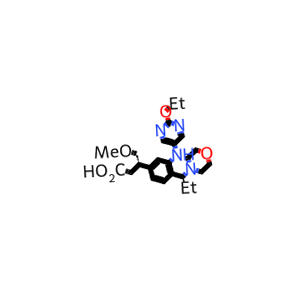 CCOc1ncc(Nc2cc([C@@H](COC)CC(=O)O)ccc2[C@@H](CC)N2CCOCC2)cn1